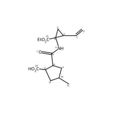 C=CC1CC1(NC(=O)C1CC(C)CC1C(=O)O)C(=O)OCC